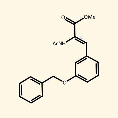 COC(=O)/C(=C/c1cccc(OCc2ccccc2)c1)NC(C)=O